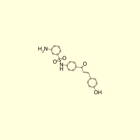 Nc1cccc(S(=O)(=O)Nc2ccc(C(=O)C=Cc3ccc(O)cc3)cc2)c1